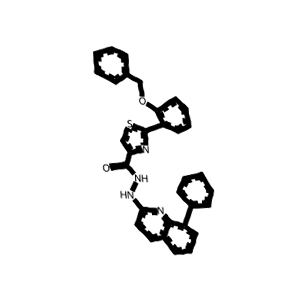 O=C(NNc1ccc2cccc(-c3ccccc3)c2n1)c1csc(-c2ccccc2OCc2ccccc2)n1